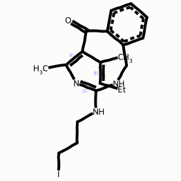 CC/C=C(C)/C1=C(C)\N=C(\NCCCI)NCc2ccccc2C1=O